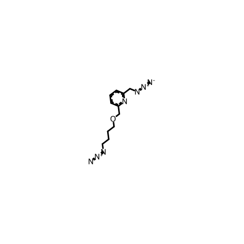 [N-]=[N+]=NCCCCOCc1cccc(CN=[N+]=[N-])n1